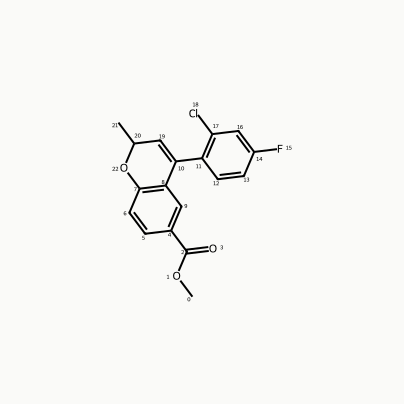 COC(=O)c1ccc2c(c1)C(c1ccc(F)cc1Cl)=CC(C)O2